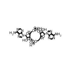 Nc1ncnc2c1ncn2[C@@H]1O[C@@H]2CCOP(=O)(O)O[C@H]3[C@@H](O)[C@H](n4cnc5c(N)ncnc54)O[C@@H]3COP(=O)(O)O[C@H]2[C@H]1O